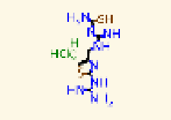 Cl.Cl.N=C(N)Nc1nc(CNC(=N)N=C(N)S)cs1